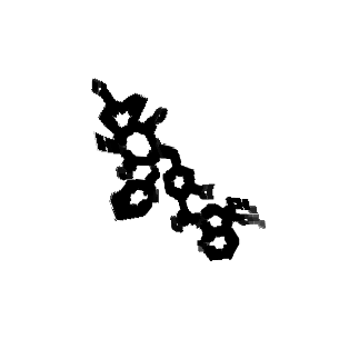 CC1(C)CN(C(=O)c2ccc(CN3C(=O)c4ccc(Cl)cc4NC(=O)[C@H]3Cc3ccccn3)cc2Cl)c2ncccc21